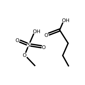 CCCC(=O)O.COS(=O)(=O)O